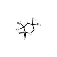 CC1(C)COS(=O)(=O)C(C)(C)C1